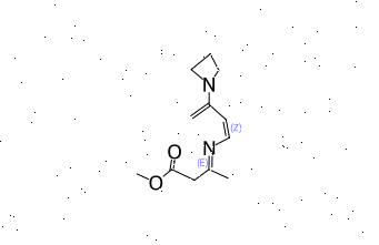 C=C(/C=C\N=C(/C)CC(=O)OC)N1CCC1